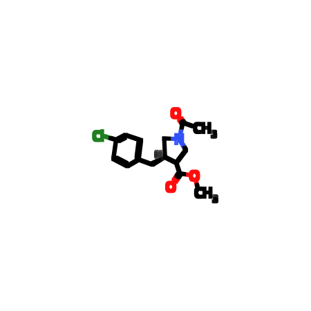 COC(=O)C1CN(C(C)=O)C[C@@H]1Cc1ccc(Cl)cc1